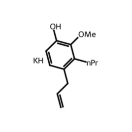 C=CCc1ccc(O)c(OC)c1CCC.[KH]